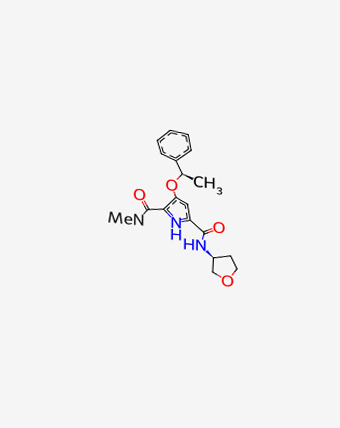 CNC(=O)c1[nH]c(C(=O)N[C@H]2CCOC2)cc1O[C@H](C)c1ccccc1